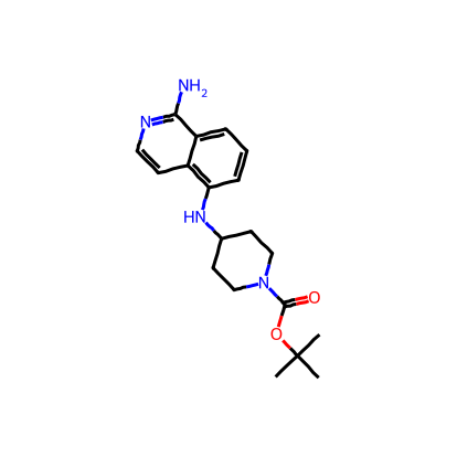 CC(C)(C)OC(=O)N1CCC(Nc2cccc3c(N)nccc23)CC1